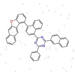 c1ccc(-c2nc(-c3ccc4ccccc4c3)nc(-c3ccc(-c4cccc5oc6cc7ccccc7cc6c45)c4ccccc34)n2)cc1